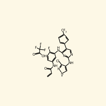 C=CC(=O)Nc1ccc(F)c(Nc2nc(Nc3cn(C)nc3Cl)ncc2-c2ccc(C(F)(F)F)cc2)c1.O=C(O)C(F)(F)F